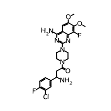 COc1cc2c(N)nc(N3CCN(C(=O)CC(N)c4ccc(F)c(Cl)c4)CC3)nc2c(F)c1OC